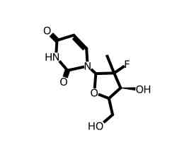 CC1(F)C(n2ccc(=O)[nH]c2=O)OC(CO)[C@@H]1O